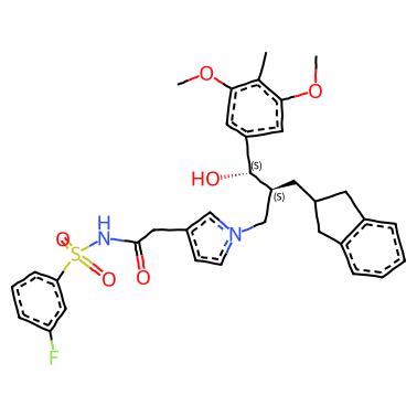 COc1cc([C@@H](O)[C@@H](CC2Cc3ccccc3C2)Cn2ccc(CC(=O)NS(=O)(=O)c3cccc(F)c3)c2)cc(OC)c1C